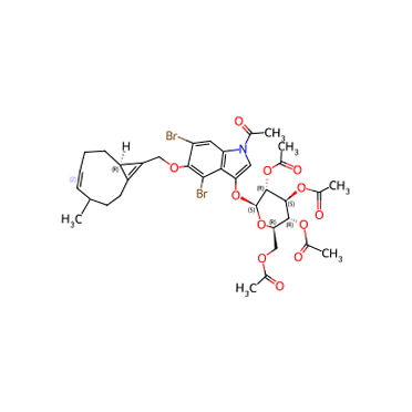 CC(=O)OC[C@H]1O[C@@H](Oc2cn(C(C)=O)c3cc(Br)c(OCC4=C5CCC(C)/C=C\CC[C@H]54)c(Br)c23)[C@H](OC(C)=O)[C@@H](OC(C)=O)[C@@H]1OC(C)=O